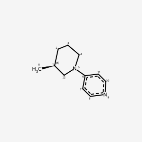 C[C@H]1CCCN(c2ccncc2)C1